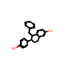 Oc1ccc(C2CCc3cc(O)ccc3C2Cc2ccccc2)cc1